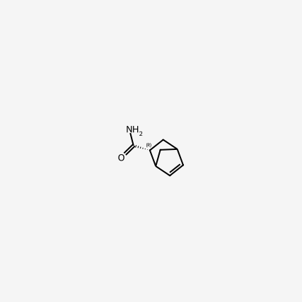 NC(=O)[C@@H]1CC2C=CC1C2